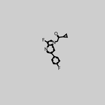 O=C(Cn1cc(F)c2ncc(-c3ccc(F)cc3)cc21)C1CC1